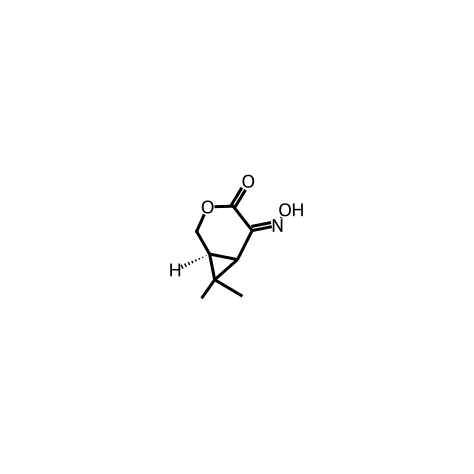 CC1(C)C2/C(=N/O)C(=O)OC[C@@H]21